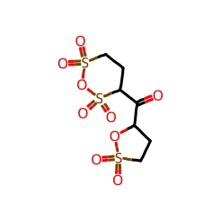 O=C(C1CCS(=O)(=O)O1)C1CCS(=O)(=O)OS1(=O)=O